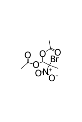 CC(=O)OC(OC(C)=O)C(C)(Br)[N+](=O)[O-]